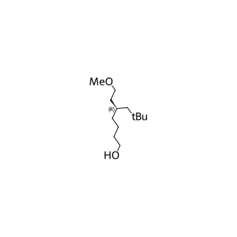 COCC[C@H](CCCCO)CC(C)(C)C